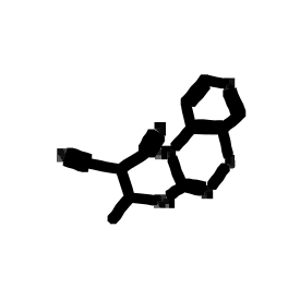 CC(NC1=NSc2cnccc2N1)C(C#N)C#N